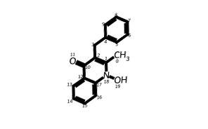 Cc1c(Cc2ccccc2)c(=O)c2ccccc2n1O